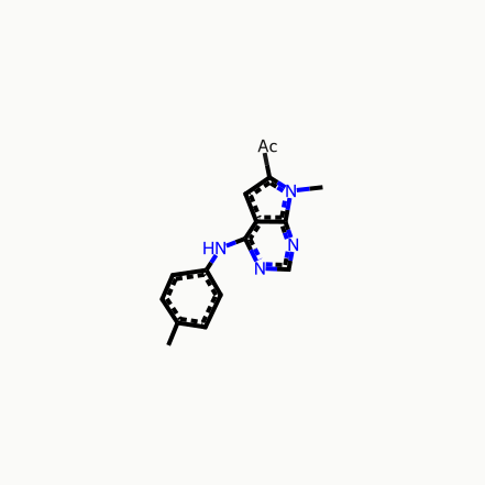 CC(=O)c1cc2c(Nc3ccc(C)cc3)ncnc2n1C